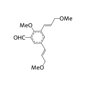 COC/C=C/c1cc(C=O)c(OC)c(/C=C/COC)c1